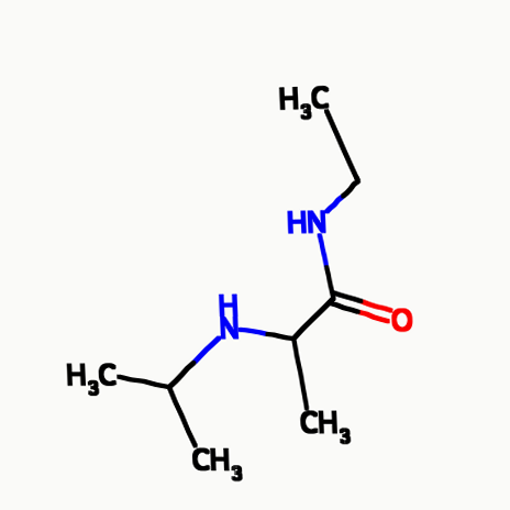 CCNC(=O)C(C)NC(C)C